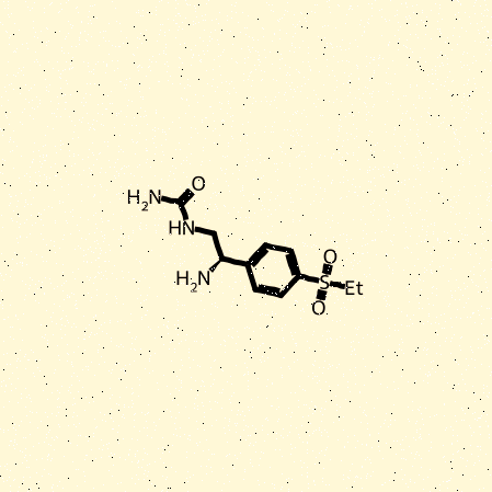 CCS(=O)(=O)c1ccc([C@@H](N)CNC(N)=O)cc1